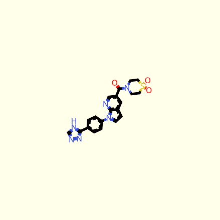 O=C(c1cnc2c(ccn2-c2ccc(-c3nnc[nH]3)cc2)c1)N1CCS(=O)(=O)CC1